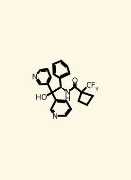 O=C(N[C@H](c1ccccc1)C(O)(c1cccnc1)c1cccnc1)C1(C(F)(F)F)CCC1